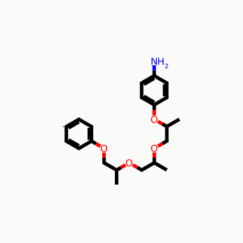 CC(COc1cc[c]cc1)OCC(C)OCC(C)Oc1ccc(N)cc1